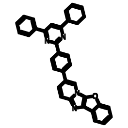 C1=CCCC(c2cc(-c3ccccc3)nc(-c3ccc(-c4ccc5nc6c7ccccc7oc6n5c4)cc3)n2)=C1